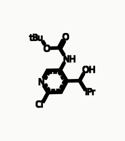 CC(C)C(O)c1cc(Cl)ncc1NC(=O)OC(C)(C)C